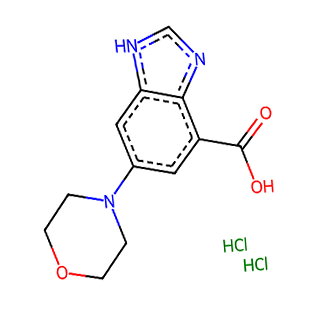 Cl.Cl.O=C(O)c1cc(N2CCOCC2)cc2[nH]cnc12